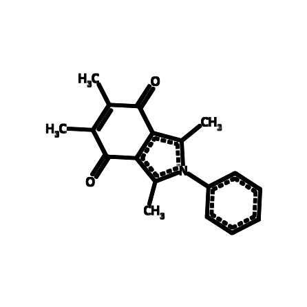 CC1=C(C)C(=O)c2c(c(C)n(-c3ccccc3)c2C)C1=O